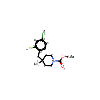 CC(C)(C)OC(=O)N1CCC(C#N)(Cc2ccc(Cl)cc2F)CC1